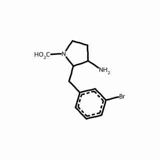 NC1CCN(C(=O)O)C1Cc1cccc(Br)c1